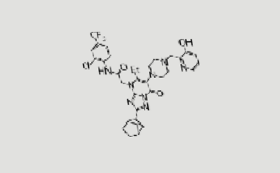 CCc1c(N2CCN(Cc3ncccc3O)CC2)c(=O)n2nc(C3=CC4CCC3C4)nc2n1CC(=O)Nc1ccc(C(F)(F)F)cc1Cl